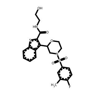 Cc1cc(S(=O)(=O)N2CCOC(c3c(C(=O)NCCO)sc4ccccc34)C2)ccc1F